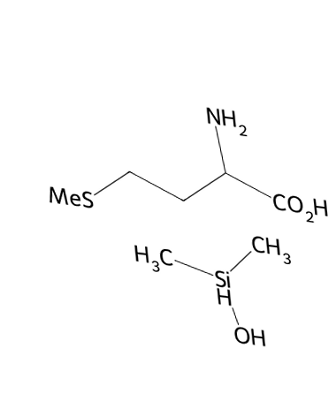 CSCCC(N)C(=O)O.C[SiH](C)O